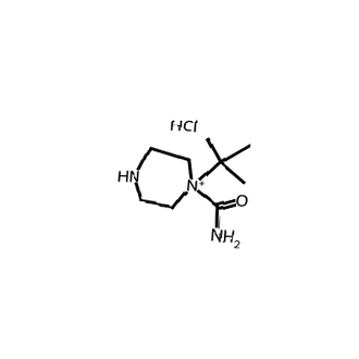 CC(C)(C)[N+]1(C(N)=O)CCNCC1.Cl